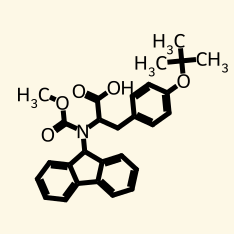 COC(=O)N(C(Cc1ccc(OC(C)(C)C)cc1)C(=O)O)C1c2ccccc2-c2ccccc21